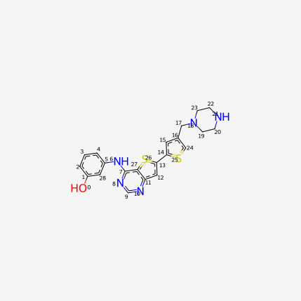 Oc1cccc(Nc2ncnc3cc(-c4cc(CN5CCNCC5)cs4)sc23)c1